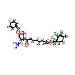 CN(C)C[C@@H](CC(=O)OCc1ccccc1)NC(=O)CCCCCCCOC(F)(F)c1ccc(F)c(F)c1F